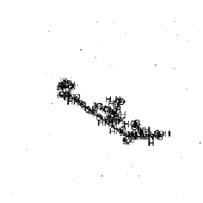 CC(=O)OCc1ccc(NC(=O)[C@H](CCCNC(N)=O)NC(=O)[C@@H](NC(=O)[C@@H](CCCCNC(=O)CCC2CCCCCc3c2nnn3CCCN(CC(=O)NCCS(=O)(=O)O)CC(=O)NCCS(=O)(=O)O)NC(=O)CCOCCOCCOCCOCCNC(=O)CCC(=O)N2Cc3ccccc3-c3c(nnn3C(C)C)-c3ccccc32)C(C)C)cc1